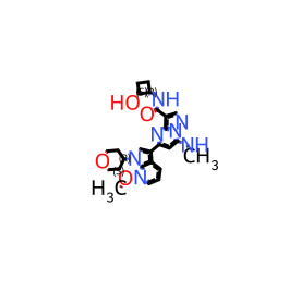 CNc1cc(-c2cn([C@@H]3CCOC[C@H]3OC)c3ncccc23)nc2c(C(=O)N[C@@H]3CC[C@@H]3O)cnn12